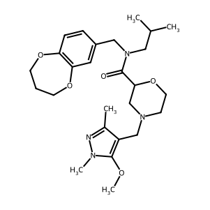 COc1c(CN2CCOC(C(=O)N(Cc3ccc4c(c3)OCCCO4)CC(C)C)C2)c(C)nn1C